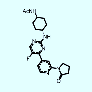 CC(=O)N[C@H]1CC[C@H](Nc2ncc(F)c(-c3ccnc(N4CCCC4=O)c3)n2)CC1